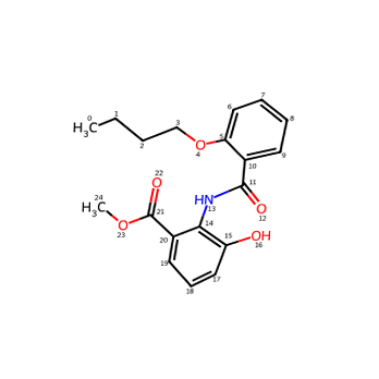 CCCCOc1ccccc1C(=O)Nc1c(O)cccc1C(=O)OC